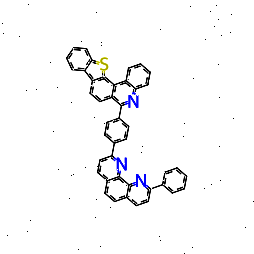 c1ccc(-c2ccc3ccc4ccc(-c5ccc(-c6nc7ccccc7c7c6ccc6c8ccccc8sc67)cc5)nc4c3n2)cc1